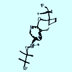 CC(C)(S)C(C)(C)OBc1cnc(OC2(C(F)(F)F)CCC2)c(F)c1